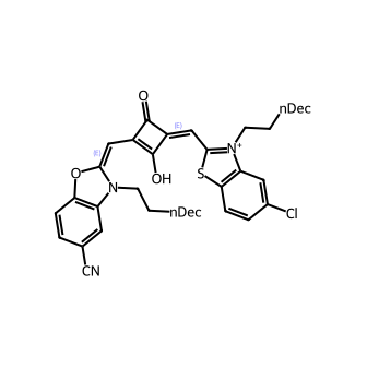 CCCCCCCCCCCCN1/C(=C\C2=C(O)C(=C\c3sc4ccc(Cl)cc4[n+]3CCCCCCCCCCCC)/C2=O)Oc2ccc(C#N)cc21